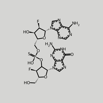 Nc1nc2c(ncn2[C@@H]2O[C@H](CO)[C@@H](F)C2OP(O)(=S)OC[C@H]2O[C@@H](n3cnc4c(N)ncnc43)[C@H](F)[C@@H]2O)c(=O)[nH]1